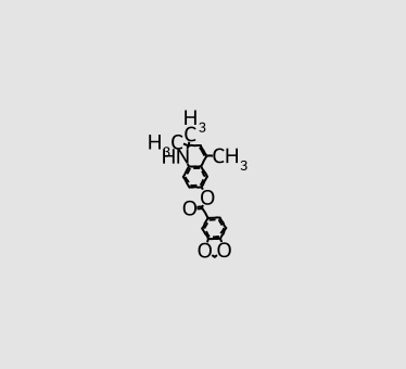 CC1=CC(C)(C)Nc2ccc(OC(=O)c3ccc4c(c3)OCO4)cc21